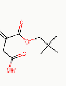 C=C(CC(=O)O)C(=O)OCC(C)(C)C